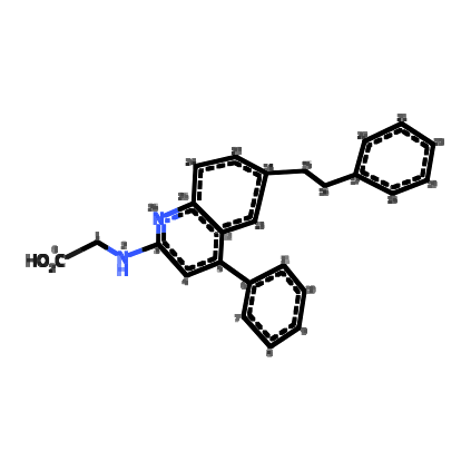 O=C(O)CNc1cc(-c2ccccc2)c2cc(CCc3ccccc3)ccc2n1